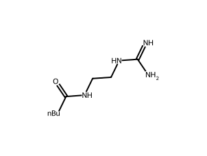 CCCCC(=O)NCCNC(=N)N